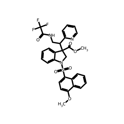 COC(=O)C1(C(CNC(=O)C(F)(F)F)c2ccccn2)CN(S(=O)(=O)c2ccc(OC)c3ccccc23)c2ccccc21